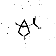 O=C(O)[C@]12CNC[C@@H]1C2